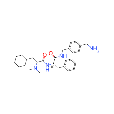 CN(C)C(CC1CCCCC1)C(=O)N[C@@H](Cc1ccccc1)C(=O)NCc1ccc(CN)cc1